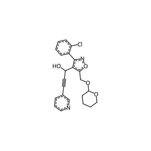 OC(C#Cc1cccnc1)c1c(-c2ccccc2Cl)noc1COC1CCCCO1